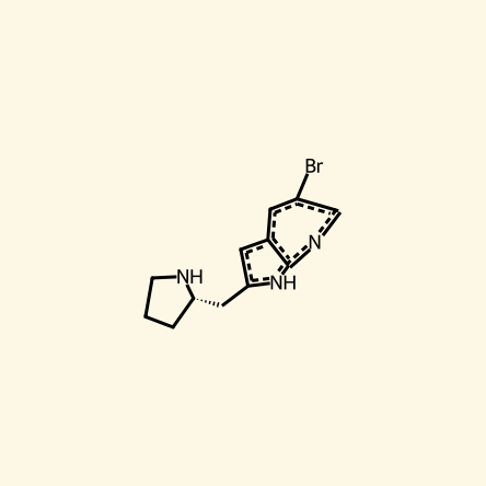 Brc1cnc2[nH]c(C[C@@H]3CCCN3)cc2c1